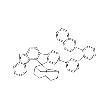 c1cc(-c2ccc3c(c2)C2(c4c-3ccc3sc5ccccc5c43)C3CCC4CCC(C3)CC42)cc(-c2ccccc2-c2ccc3ccccc3c2)c1